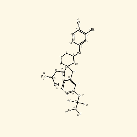 CCc1cc(OC2CCCC(Cc3cccc(OC(F)(F)C(F)F)c3)(NCC(O)C(F)(F)F)C2)ccc1Cl